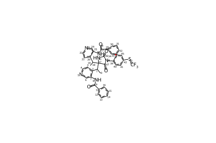 CC(c1ccncc1NC(=O)c1ccccc1)C1(C(C)c2ccncc2NC(=O)c2ccccc2)NC(=O)N(c2ccc(SC(F)(F)F)cc2)C1=O